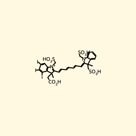 CC1(CC(=O)O)C(/C=C/C=C/C=C/C=C2\N(CS(=O)(=O)O)c3ccccc3C2(C)CS(=O)(=O)O)=[N+](CS(=O)(=O)O)c2cc(I)c(I)c(I)c21